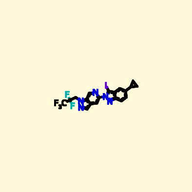 FC(F)(F)C(F)(F)Cn1ncc2cc(-n3nc4ccc(C5CC5)cc4c3I)ncc21